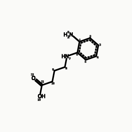 Nc1ccccc1NCCCC(=O)O